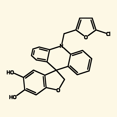 Oc1cc2c(cc1O)C1(CO2)c2ccccc2N(Cc2ccc(Cl)o2)c2ccccc21